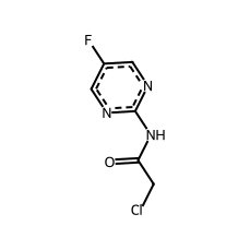 O=C(CCl)Nc1ncc(F)cn1